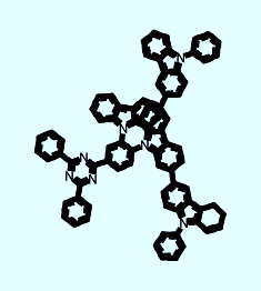 C1=Cc2c(c3cc(-c4ccc5c6cc(-c7ccc8c(c7)c7ccccc7n8-c7ccccc7)ccc6n(-c6ccc(-c7nc(-c8ccccc8)nc(-c8ccccc8)n7)cc6-n6c7ccccc7c7ccccc76)c5c4)ccc3n2-c2ccccc2)CC1